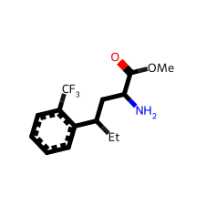 CCC(CC(N)C(=O)OC)c1ccccc1C(F)(F)F